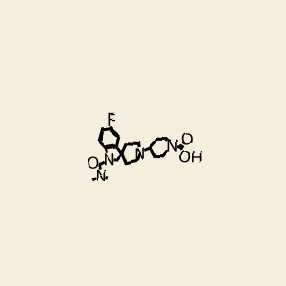 CN(C)C(=O)N1CC2(CCN(C3CCN(C(=O)O)CC3)CC2)c2cc(F)ccc21